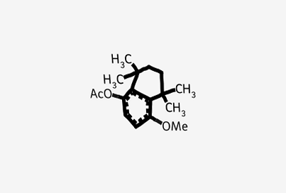 COc1ccc(OC(C)=O)c2c1C(C)(C)CCC2(C)C